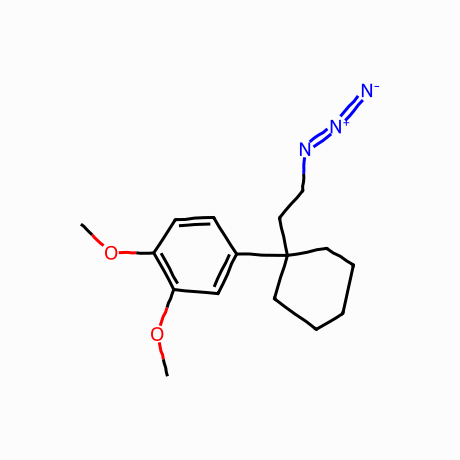 COc1ccc(C2(CCN=[N+]=[N-])CCCCC2)cc1OC